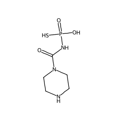 O=C(NP(=O)(O)S)N1CCNCC1